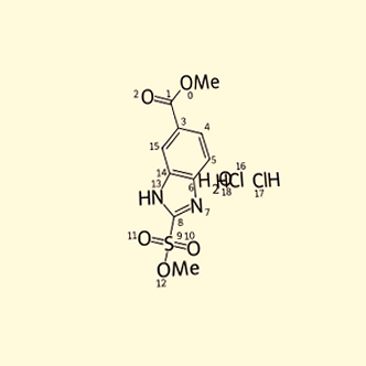 COC(=O)c1ccc2nc(S(=O)(=O)OC)[nH]c2c1.Cl.Cl.O